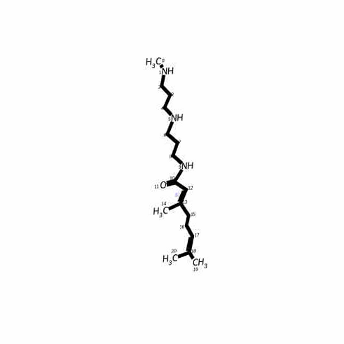 CNCCCNCCCNC(=O)/C=C(\C)CCC=C(C)C